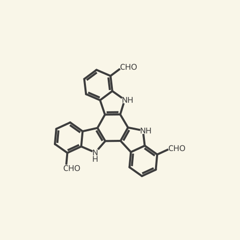 O=Cc1cccc2c1[nH]c1c3[nH]c4c(C=O)cccc4c3c3c4cccc(C=O)c4[nH]c3c21